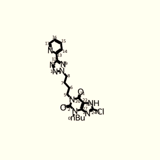 CCCCn1c(=O)n(CCCCn2nnc(-c3ccccn3)n2)c(=O)c2[nH]c(Cl)nc21